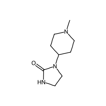 CN1CCC(N2CCNC2=O)CC1